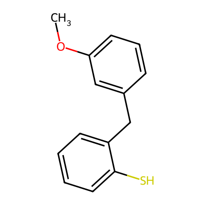 COc1cccc(Cc2ccccc2S)c1